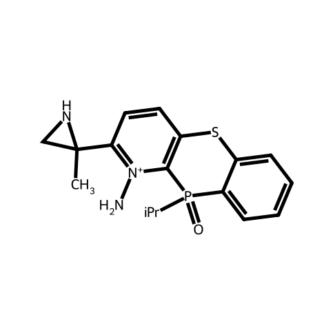 CC(C)P1(=O)c2ccccc2Sc2ccc(C3(C)CN3)[n+](N)c21